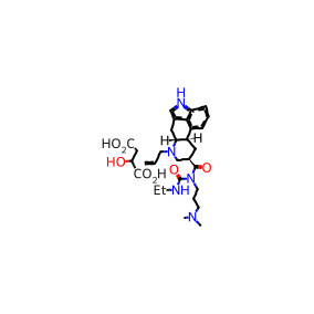 C=CCN1C[C@H](C(=O)N(CCCN(C)C)C(=O)NCC)C[C@@H]2c3cccc4[nH]cc(c34)C[C@H]21.O=C(O)CC(O)C(=O)O